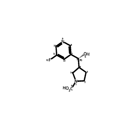 O=C(O)N1CCC([C@@H](O)c2cncc(F)c2)C1